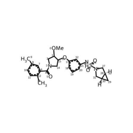 COC1CN(C(=O)c2cc(C)ccc2C)CC1Oc1cccc(NS(=O)(=O)N2C[C@H]3C[C@@H]3C2)c1